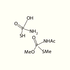 COP(=O)(NC(C)=O)SC.NP(=O)(O)S